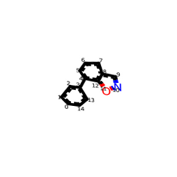 c1ccc(-c2cccc3cnoc23)cc1